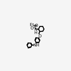 CCS(=O)(=O)NC1CCCCC1COc1ccc(Nc2ccccc2)cc1